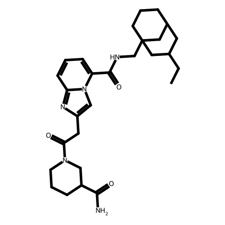 CCC1CC2CCCC(CNC(=O)c3cccc4nc(CC(=O)N5CCCC(C(N)=O)C5)cn34)(C1)C2